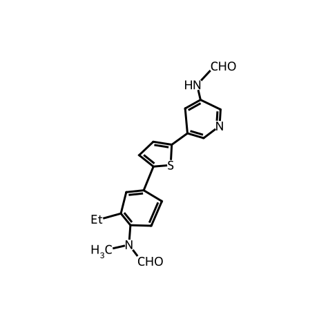 CCc1cc(-c2ccc(-c3cncc(NC=O)c3)s2)ccc1N(C)C=O